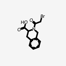 O=C(O)C1Cc2ccccc2CN1C(=O)CBr